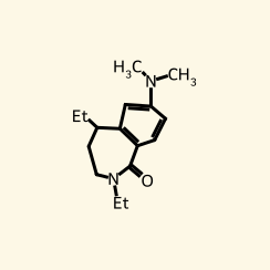 CCC1CCN(CC)C(=O)c2ccc(N(C)C)cc21